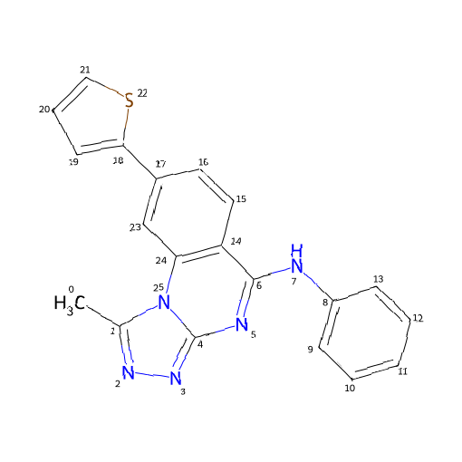 Cc1nnc2nc(Nc3ccccc3)c3ccc(-c4cccs4)cc3n12